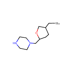 CC(C)(C)CC1CCC(CN2CCNCC2)OC1